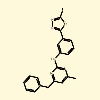 Cc1cc(Cc2ccccc2)nc(Nc2cccc(-c3nnc(F)o3)c2)n1